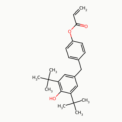 C=CC(=O)Oc1ccc(Cc2cc(C(C)(C)C)c(O)c(C(C)(C)C)c2)cc1